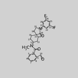 CN(C(=O)c1ccccc1C=O)C1CCC2(CC1)CCN(c1cc(F)cc(F)c1)C2=O